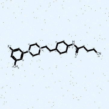 Cc1cc(F)cc(N2CCN(CCC3CCC(NC(=O)CCCC#N)CC3)CC2)c1